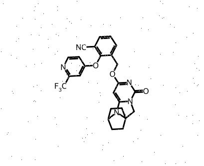 N#Cc1cccc(COc2cc3n(c(=O)n2)CC24CCC(CC2)N34)c1Oc1ccnc(C(F)(F)F)c1